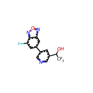 OC(c1cncc(-c2cc(F)c3nonc3c2)c1)C(F)(F)F